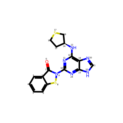 O=c1c2ccccc2sn1-c1nc(N[C@H]2CCSC2)c2nc[nH]c2n1